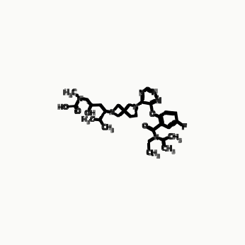 CCN(C(=O)c1cc(F)ccc1Oc1nncnc1N1CCC2(C1)CN(C(CC(O)CN(C)C(=O)O)C(C)C)C2)C(C)C